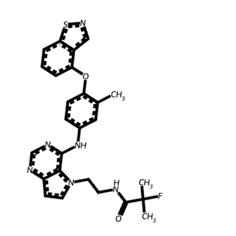 Cc1cc(Nc2ncnc3ccn(CCNC(=O)C(C)(C)F)c23)ccc1Oc1cccc2sncc12